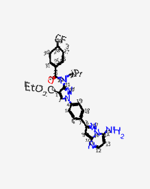 CCOC(=O)c1cn(-c2ccc(-c3cc4nccc(N)n4n3)cc2)nc1N(C(=O)C1CCC(C(F)(F)F)CC1)C(C)C